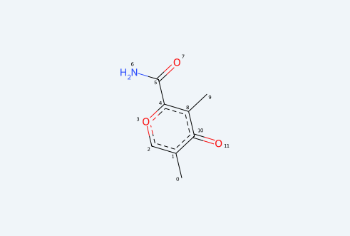 Cc1coc(C(N)=O)c(C)c1=O